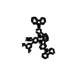 N#Cc1cc(-n2c3ccccc3c3cc(-n4c5ccccc5c5ccccc54)ccc32)c(-n2c3ccccc3c3cc(-n4c5ccccc5c5ccccc54)ccc32)cc1-c1cc(F)cc(F)c1